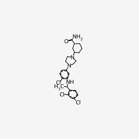 CC(Nc1cc(N2CCN(C3CCCC(C(N)=O)C3)CC2)ccc1Cl)c1ccc(Cl)cc1Cl